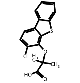 CC(C)(Oc1c(Cl)ccc2c1sc1ccccc12)C(=O)O